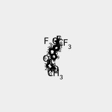 CN1CCN(C(=O)[C@@H]2CCC3c4ccc(C(F)(C(F)(F)F)C(F)(F)F)cc4CCC32)CC1=O